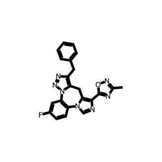 Cc1noc(-c2ncn3c2Cc2c(Cc4ccccc4)nnn2-c2cc(F)ccc2-3)n1